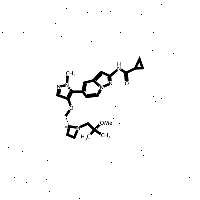 COC(C)(C)CN1CC[C@@H]1COc1cnn(C)c1-c1ccn2nc(NC(=O)C3CC3)cc2c1